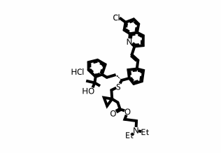 CCN(CC)CCOC(=O)CC1(CS[C@H](CCc2ccccc2C(C)(C)O)c2cccc(/C=C/c3ccc4ccc(Cl)cc4n3)c2)CC1.Cl